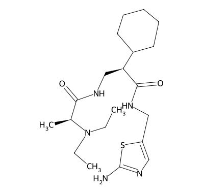 CCN(CC)[C@@H](C)C(=O)NC[C@H](C(=O)NCc1cnc(N)s1)C1CCCCC1